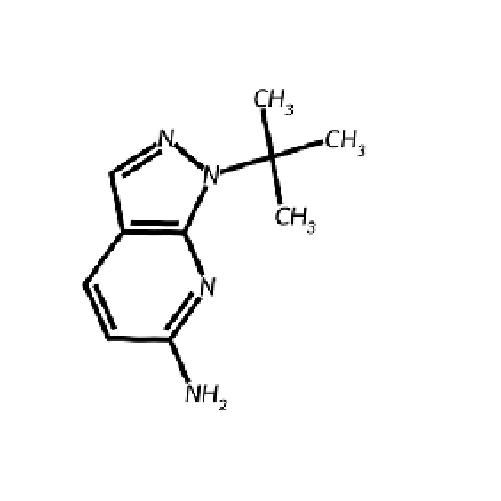 CC(C)(C)n1ncc2ccc(N)nc21